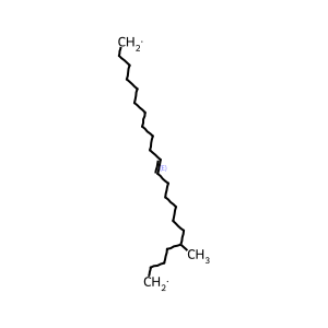 [CH2]CCCCCCCCC/C=C/CCCCCC(C)CCC[CH2]